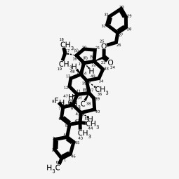 Cc1ccc(C2=CC(F)[C@]3(C)[C@H]4CC[C@@H]5[C@H]6[C@H](C(C)C)CC[C@]6(C(=O)OCc6ccccc6)CC[C@@]5(C)[C@]4(C)CC[C@H]3C2(C)C)cc1